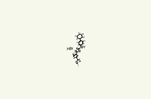 Br.COC(=S)c1cc(-c2csc(Nc3ccc(C4CCCCC4)cc3)n2)c(C)s1